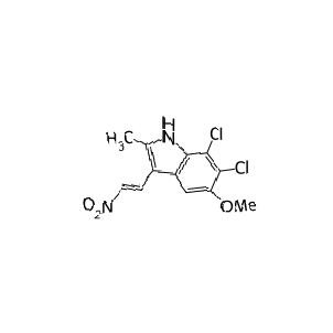 COc1cc2c(C=C[N+](=O)[O-])c(C)[nH]c2c(Cl)c1Cl